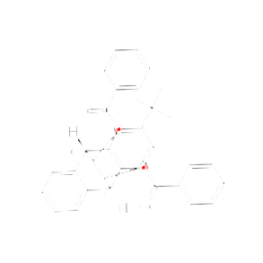 CC(C)(C)c1ccc2c(c1)[C@H]1c3ccccc3[C@H]2C(OC(=O)c2ccccc2)C1OC(=O)c1ccccc1